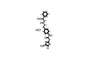 Cl.O=C(Cc1n[nH]c(S)n1)Nc1ccc(CCNC[C@H](O)c2ccccc2)cc1